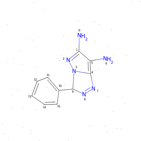 Nc1nn2c(c1N)N=NC2c1ccccc1